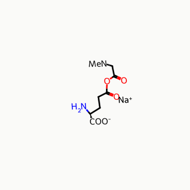 CNCC(=O)OC(=O)CC[C@H](N)C(=O)[O-].[Na+]